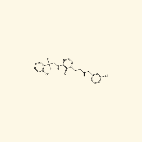 O=c1c(NCC(F)(F)c2cccc[n+]2[O-])nccn1CCNCc1cccc(Cl)c1